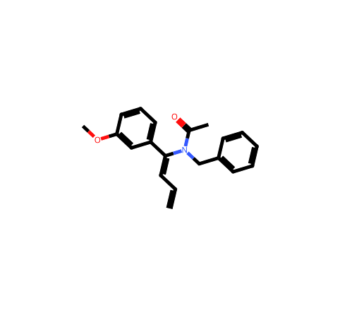 C=C/C=C(/c1cccc(OC)c1)N(Cc1ccccc1)C(C)=O